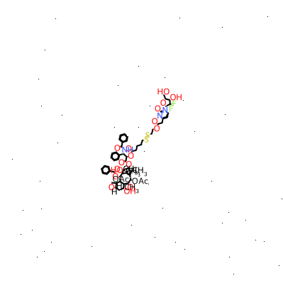 CC(=O)O[C@H]1C(=O)[C@@]2(C)[C@H]([C@H](OC(=O)c3ccccc3)[C@]3(O)C[C@H](OC(=O)[C@H](OC(=O)CCCCSSCCOC(=O)Cc4ccn(C5OC(CO)C(O)C5(F)F)c(=O)n4)[C@@H](NC(=O)c4ccccc4)c4ccccc4)C(C)=C1C3(C)C)[C@]1(OC(C)=O)CO[C@@H]1C[C@@H]2O